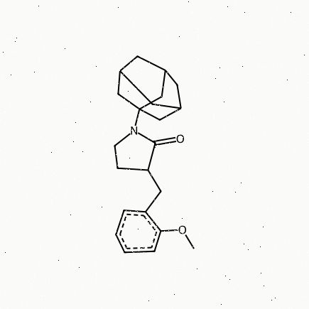 COc1ccccc1CC1CCN(C23CC4CC(CC(C4)C2)C3)C1=O